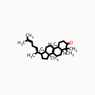 CC(C)=CCCC(C)C1CC[C@@]2(C)C3=C(CC[C@]12C)[C@@]1(C)CCC(=O)C(C)(C)[C@@H]1CC3